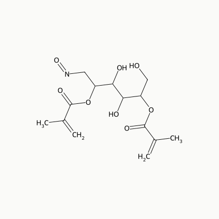 C=C(C)C(=O)OC(CO)C(O)C(O)C(CN=O)OC(=O)C(=C)C